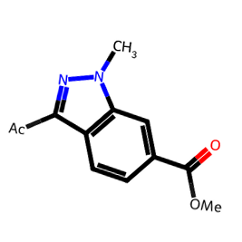 COC(=O)c1ccc2c(C(C)=O)nn(C)c2c1